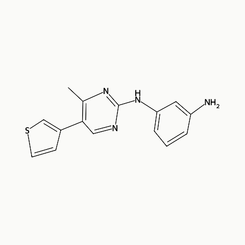 Cc1nc(Nc2cccc(N)c2)ncc1-c1ccsc1